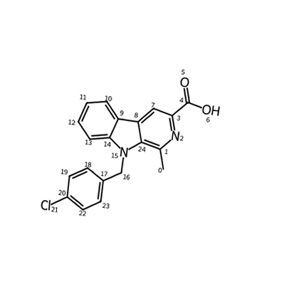 Cc1nc(C(=O)O)cc2c3ccccc3n(Cc3ccc(Cl)cc3)c12